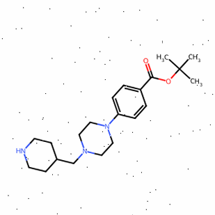 CC(C)(C)OC(=O)c1ccc(N2CCN(CC3CCNCC3)CC2)cc1